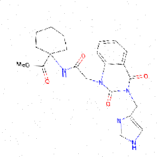 COC(=O)C1(NC(=O)Cn2c(=O)n(Cc3c[nH]cn3)c(=O)c3ccccc32)CCCCC1